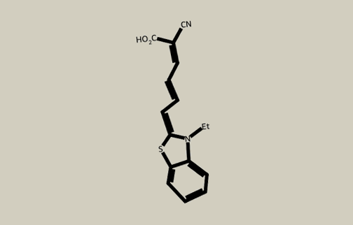 CCN1C(=CC=CC=C(C#N)C(=O)O)Sc2ccccc21